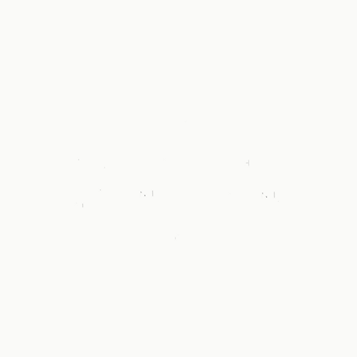 CC(C)(C)OC(=O)CC(N)c1cccc(C(O)c2cc(Cl)ccc2N)c1